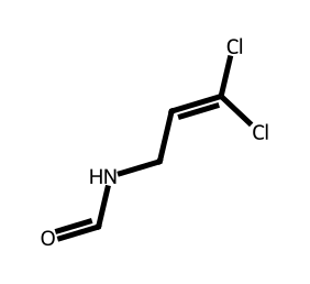 O=CNCC=C(Cl)Cl